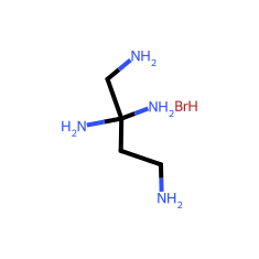 Br.NCCC(N)(N)CN